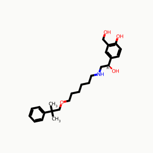 CC(C)(COCCCCCCNC[C@H](O)c1ccc(O)c(CO)c1)c1ccccc1